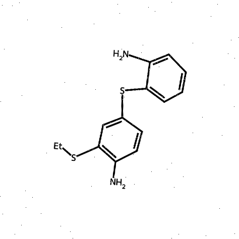 CCSc1cc(Sc2ccccc2N)ccc1N